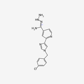 NN/N=C(\N)c1ccnc(-c2cn(Cc3ccc(Cl)cc3)cn2)c1